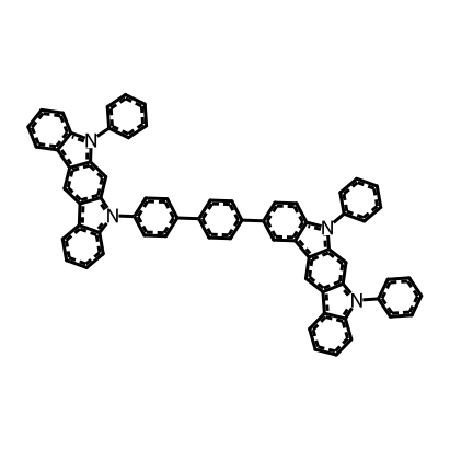 c1ccc(-n2c3ccccc3c3cc4c5ccccc5n(-c5ccc(-c6ccc(-c7ccc8c(c7)c7cc9c%10ccccc%10n(-c%10ccccc%10)c9cc7n8-c7ccccc7)cc6)cc5)c4cc32)cc1